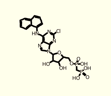 O=P(O)(O)CP(=O)(O)OCC1OC(n2cnc3c(Nc4cccc5ccccc45)nc(Cl)nc32)C(O)C1O